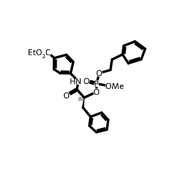 CCOC(=O)c1ccc(NC(=O)[C@H](Cc2ccccc2)OP(=O)(OC)OCCc2ccccc2)cc1